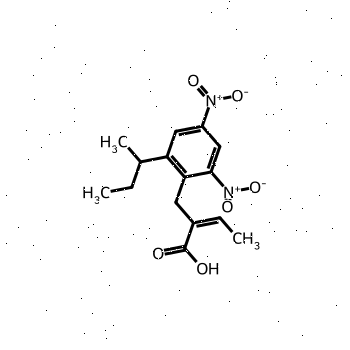 CC=C(Cc1c(C(C)CC)cc([N+](=O)[O-])cc1[N+](=O)[O-])C(=O)O